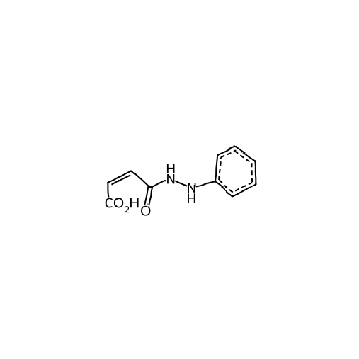 O=C(O)/C=C\C(=O)NNc1ccccc1